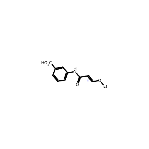 CCO/C=C/C(=O)Nc1cccc(C(=O)O)c1